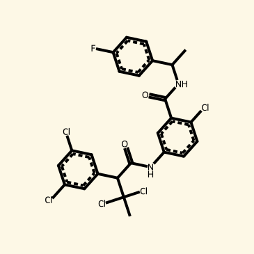 CC(NC(=O)c1cc(NC(=O)C(c2cc(Cl)cc(Cl)c2)C(C)(Cl)Cl)ccc1Cl)c1ccc(F)cc1